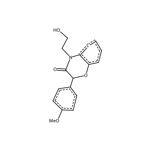 COc1ccc(C2Oc3ccccc3N(CCO)C2=O)cc1